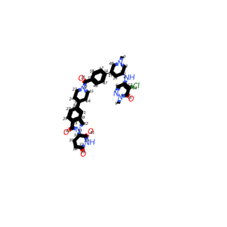 CN1C[C@H](Nc2cnn(C)c(=O)c2Cl)C[C@H](c2ccc(C(=O)N3CCC(c4ccc5c(c4)CN(C4CCC(=O)NC4=O)C5=O)CC3)cc2)C1